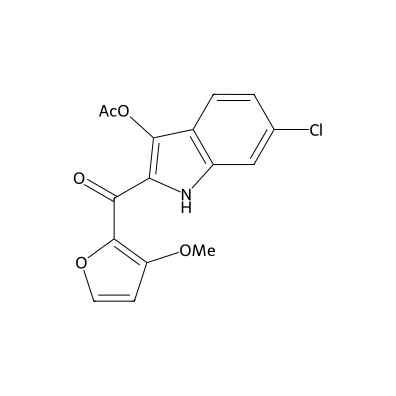 COc1ccoc1C(=O)c1[nH]c2cc(Cl)ccc2c1OC(C)=O